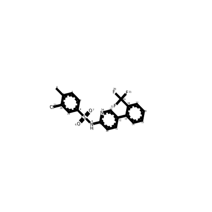 Cc1ccc(S(=O)(=O)Nc2ccc(-c3ccccc3C(F)(F)F)cn2)cc1Cl